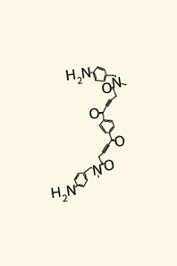 CN(Cc1ccc(N)cc1)C(=O)CC#CC(=O)c1ccc(C(=O)C#CCC(=O)N(C)Cc2ccc(N)cc2)cc1